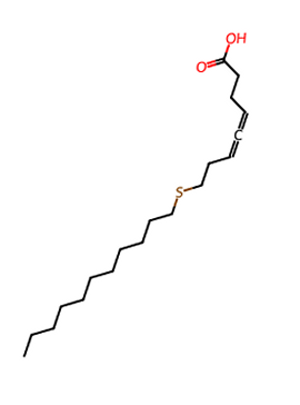 CCCCCCCCCCCSCCC=C=CCCC(=O)O